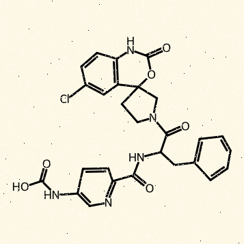 O=C(O)Nc1ccc(C(=O)NC(Cc2ccccc2)C(=O)N2CCC3(C2)OC(=O)Nc2ccc(Cl)cc23)nc1